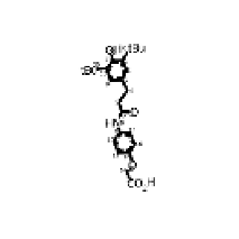 CC(C)(C)c1cc(CCC(=O)Nc2ccc(OCC(=O)O)cc2)cc(C(C)(C)C)c1O